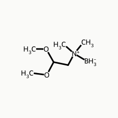 [BH3-][N+](C)(C)CC(OC)OC